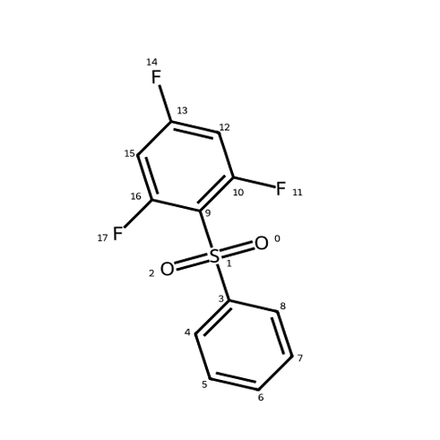 O=S(=O)(c1ccccc1)c1c(F)cc(F)cc1F